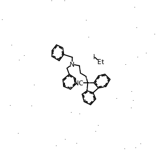 CCI.N#CC1(CCCN(Cc2ccccc2)Cc2ccccc2)c2ccccc2-c2ccccc21